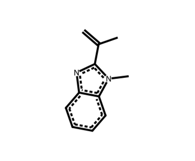 C=C(C)c1nc2ccccc2n1C